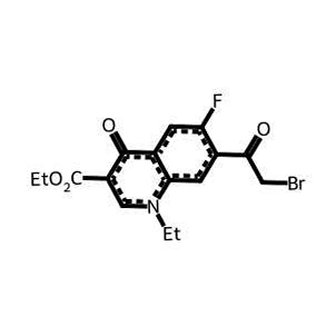 CCOC(=O)c1cn(CC)c2cc(C(=O)CBr)c(F)cc2c1=O